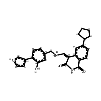 O=C1NC(=O)c2ccc(C3CCCC3)cc2C1=CNCc1ccc(-c2ccoc2)c(O)c1